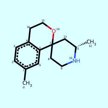 Cc1ccc2c(c1)C1(CCN[C@@H](C)C1)OCC2